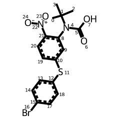 CC(C)(C)N(C(=O)O)c1cc(Sc2ccc(Br)cc2)ccc1[N+](=O)[O-]